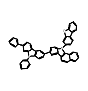 c1ccc(-c2ccc3c4cc(-c5ccc6c(c5)c5ccc7ccccc7c5n6-c5ccc6c(c5)oc5ccccc56)ccc4n(-c4ccccc4)c3c2)cc1